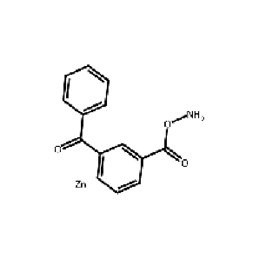 NOC(=O)c1cccc(C(=O)c2ccccc2)c1.[Zn]